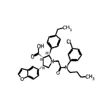 CCCCN(C(=O)CN1C[C@H](c2ccc3occc3c2)[C@H](C(=O)O)[C@H]1c1ccc(CC)cc1)c1cccc(Cl)c1